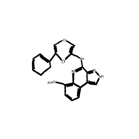 COc1cccc2c1nc(NC1=COC=C(C3=CC=CCC3)O1)c1n[nH]cc12